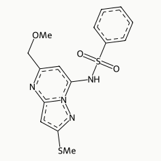 COCc1cc(NS(=O)(=O)c2ccccc2)n2nc(SC)cc2n1